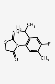 Cc1cc(N2C(=N)SCC2=O)c(C(C)C)cc1F